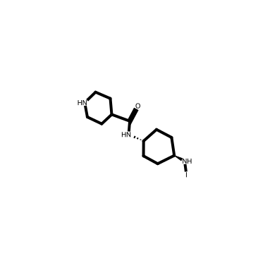 O=C(N[C@H]1CC[C@H](NI)CC1)C1CCNCC1